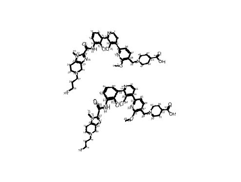 COc1nc(-c2ccnc(-c3cccc(NC(=O)c4nc5c(n4C)CCN(CCCF)C5)c3Cl)c2Cl)ccc1CN1CCC(C(=O)O)CC1.COc1nc(-c2ccnc(-c3cccc(NC(=O)c4nc5c(n4C)CCN(CCCF)C5)c3Cl)c2Cl)ccc1CN1CCC(C(=O)O)CC1